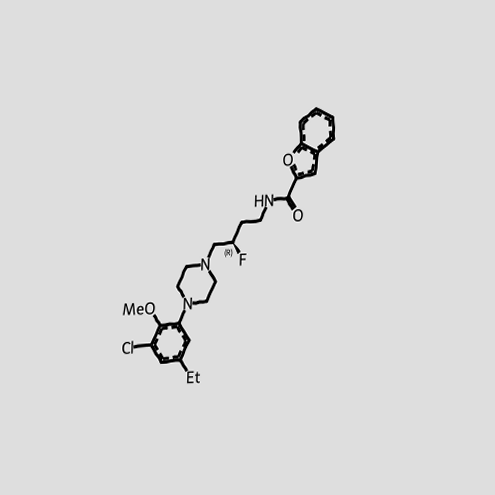 CCc1cc(Cl)c(OC)c(N2CCN(C[C@H](F)CCNC(=O)c3cc4ccccc4o3)CC2)c1